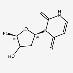 C=C1NC=CC(=O)N1[C@H]1CC(O)[C@@H](CC)O1